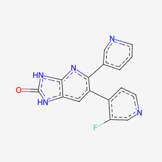 O=c1[nH]c2cc(-c3ccncc3F)c(-c3cccnc3)nc2[nH]1